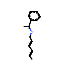 C/C=C/C=C/CN[C@@H](C)c1ccccc1